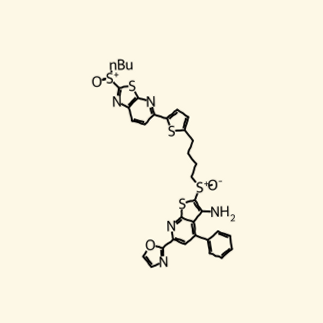 CCCC[S+]([O-])c1nc2ccc(-c3ccc(CCCC[S+]([O-])c4sc5nc(-c6ncco6)cc(-c6ccccc6)c5c4N)s3)nc2s1